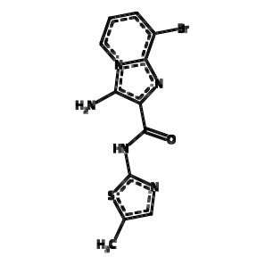 Cc1cnc(NC(=O)c2nc3c(Br)cccn3c2N)s1